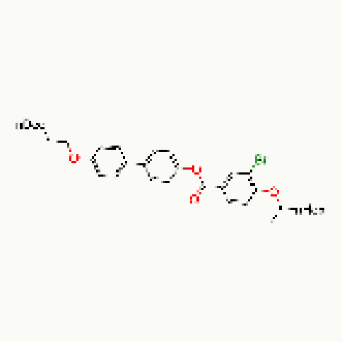 CCCCCCCCCCCCOc1ccc(-c2ccc(OC(=O)c3ccc(OC(C)CCCCCC)c(Br)c3)cc2)cc1